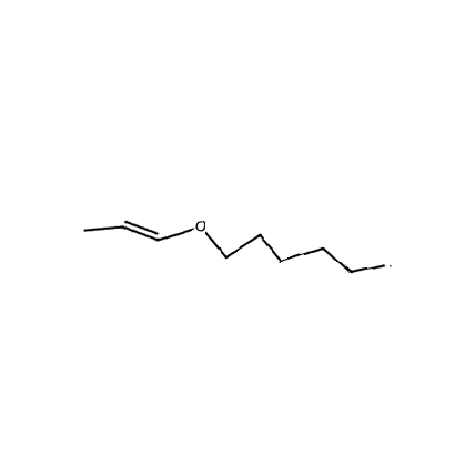 [CH2]CCCCCOC=CC